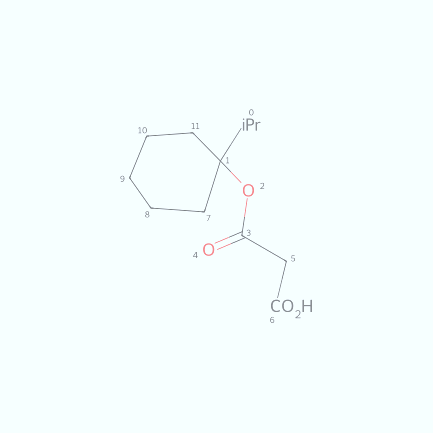 CC(C)C1(OC(=O)CC(=O)O)CCCCC1